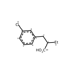 CCC(Cc1cccc(Cl)c1)C(=O)O